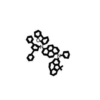 CC1(C)c2cccc3ccc4cc(N(c5ccccc5)c5ccc6ccc7c(N(c8cc(-c9ccccc9)cc(-c9ccccc9)c8)c8cccc9c8oc8ccccc89)ccc8ccc5c6c87)cc1c4c23